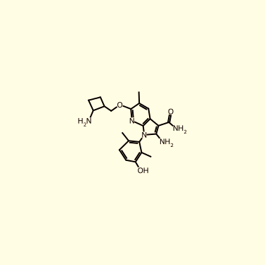 Cc1cc2c(C(N)=O)c(N)n(-c3c(C)ccc(O)c3C)c2nc1OCC1CCC1N